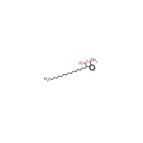 C=Cc1ccccc1C(CCCCCCCCCCCCCCCC)C(=O)O